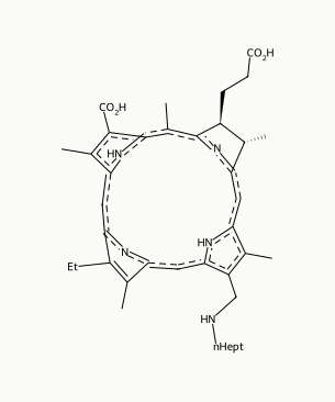 CCCCCCCNCc1c(C)c2cc3nc(c(C)c4[nH]c(cc5nc(cc1[nH]2)C(C)=C5CC)c(C)c4C(=O)O)[C@@H](CCC(=O)O)[C@@H]3C